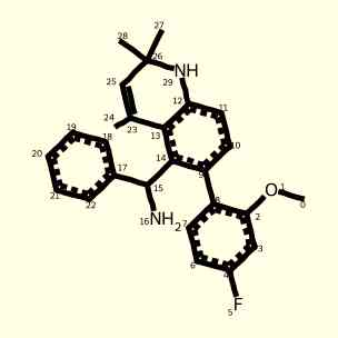 COc1cc(F)ccc1-c1ccc2c(c1C(N)c1ccccc1)C(C)=CC(C)(C)N2